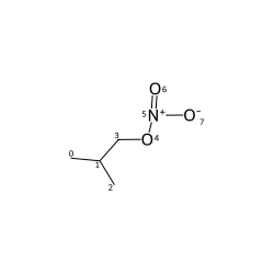 CC(C)CO[N+](=O)[O-]